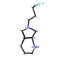 FCCCN1CC2CCCNC2C1